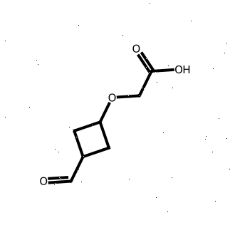 O=CC1CC(OCC(=O)O)C1